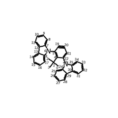 CC(C)(C)c1c(-n2c3ccccc3c3ccccc32)c#ccc1-n1c2ccccc2c2ccccc21